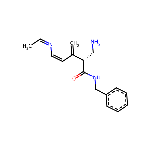 C=C(/C=C\N=C/C)[C@H](CN)C(=O)NCc1ccccc1